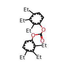 CCc1ccc(OC(=O)Oc2ccc(CC)c(CC)c2CC)c(CC)c1CC